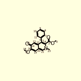 COC(=O)c1c(-c2ccccc2)c2cc(=O)c(OC)cc-2cn1C